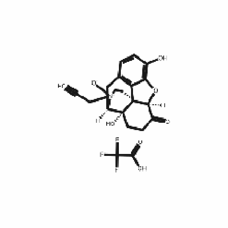 C#CC[N+]1([O-])CC[C@]23c4c5ccc(O)c4O[C@H]2C(=O)CC[C@@]3(O)[C@H]1C5.O=C(O)C(F)(F)F